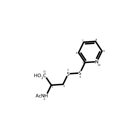 CC(=O)NC(CSSc1ccccn1)C(=O)O